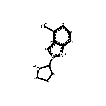 Clc1cccc2nn(C3CCCO3)cc12